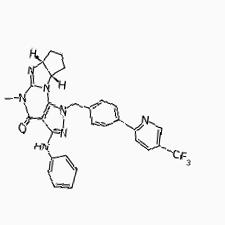 CN1C(=O)c2c(Nc3ccccc3)nn(Cc3ccc(-c4ccc(C(F)(F)F)cn4)cc3)c2N2C1=N[C@@H]1CCC[C@@H]12